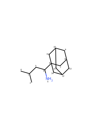 CC(C)CC(N)C12CC3CC(CC(C3)C1)C2